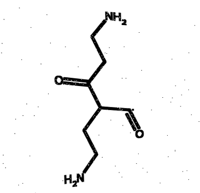 NCCC(=O)C([C]=O)CCN